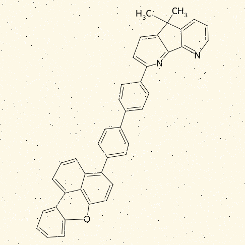 CC1(C)c2cccnc2-c2nc(-c3ccc(-c4ccc(-c5ccc6c7c(cccc57)-c5ccccc5O6)cc4)cc3)ccc21